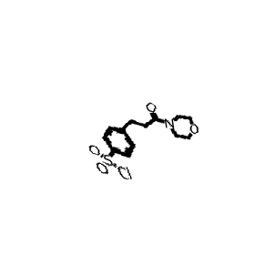 O=C(CCc1ccc(S(=O)(=O)Cl)cc1)N1CCOCC1